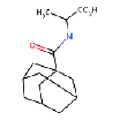 CC(NC(=O)C12CC3CC(CC(C3)C1)C2)C(=O)O